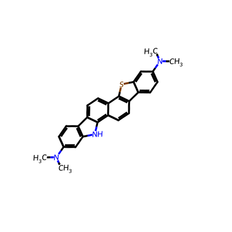 CN(C)c1ccc2c(c1)[nH]c1c2ccc2c1ccc1c3ccc(N(C)C)cc3sc12